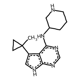 CC1(c2c[nH]c3ncnc(NC4CCCNC4)c23)CC1